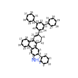 Nc1cc2c(cc1-c1ccccc1)c1c(c3ccccc32)C=C(c2cc(-c3ccccc3)cc(-c3ccccc3)c2)CC1